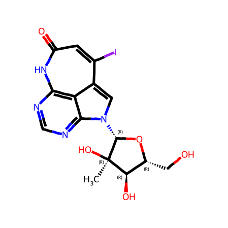 C[C@@]1(O)[C@H](O)[C@@H](CO)O[C@H]1n1cc2c3c(ncnc31)NC(=O)C=C2I